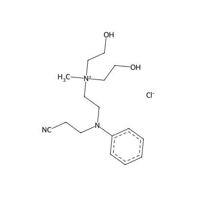 C[N+](CCO)(CCO)CCN(CCC#N)c1ccccc1.[Cl-]